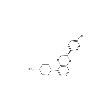 N#Cc1ccc([C@@H]2COc3c(cccc3C3CCN(C(=O)O)CC3)O2)cc1